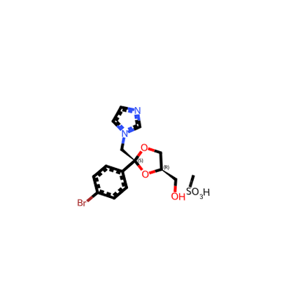 CS(=O)(=O)O.OC[C@@H]1CO[C@@](Cn2ccnc2)(c2ccc(Br)cc2)O1